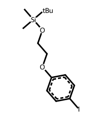 CC(C)(C)[Si](C)(C)OCCOc1ccc(I)cc1